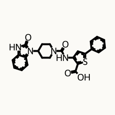 O=C(O)c1sc(-c2ccccc2)cc1NC(=O)N1CCC(n2c(=O)[nH]c3ccccc32)CC1